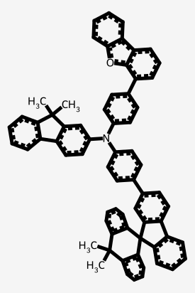 CC1(C)c2ccccc2-c2ccc(N(c3ccc(-c4ccc5c(c4)C4(c6ccccc6-5)c5ccccc5C(C)(C)c5ccccc54)cc3)c3ccc(-c4cccc5c4oc4ccccc45)cc3)cc21